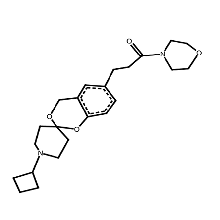 O=C(CCc1ccc2c(c1)COC1(CCN(C3CCC3)CC1)O2)N1CCOCC1